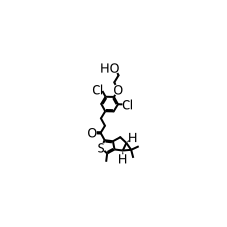 Cc1sc(C(=O)CCc2cc(Cl)c(OCCO)c(Cl)c2)c2c1[C@H]1[C@@H](C2)C1(C)C